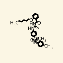 CCCCCCOc1ccccc1C(=O)NC(=S)Nc1ccc(S(=O)(=O)Nc2ccc(C)cc2C)cc1